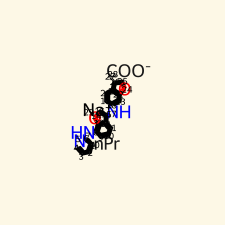 CCCc1cccnc1Nc1cccc2c1OC[C@H]2Nc1ccc2c(c1)OC[C@H]2CC(=O)[O-].[Na+]